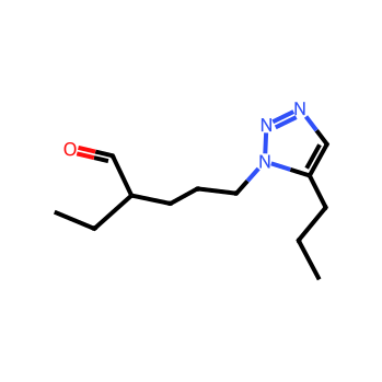 CCCc1cnnn1CCCC(C=O)CC